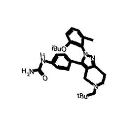 Cc1cccc(OCC(C)C)c1-n1nc2c(c1-c1ccc(NC(N)=O)cc1)CN(CC(C)(C)C)CC2